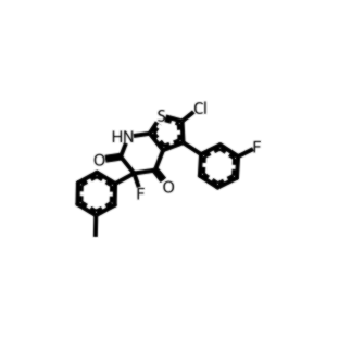 Cc1cccc(C2(F)C(=O)Nc3sc(Cl)c(-c4cccc(F)c4)c3C2=O)c1